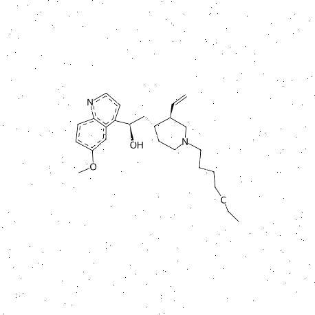 C=C[C@H]1CN(CCCCCCC)CC[C@@H]1C[C@@H](O)c1ccnc2ccc(OC)cc12